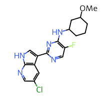 COC1CCCC(Nc2nc(-c3c[nH]c4ncc(Cl)cc34)ncc2F)C1